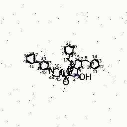 O=C(/C=C(/O)c1cc(Cc2ccccc2)cn(Cc2ccccc2)c1=O)C(=O)N1CCN(c2ccc(-c3ccccc3)cc2)CC1